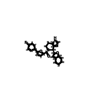 O=C(c1cnc(-c2ccc(F)cn2)o1)N1CCc2[nH]cnc2[C@H]1c1cc2ccccc2o1